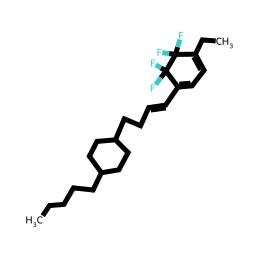 CCCCCC1CCC(CC/C=C/C2=CC=C(CC)C(F)(F)C2(F)F)CC1